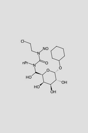 CCCN(C(=O)N(CCCl)N=O)C(O)[C@H]1O[C@H](OC2CCCCC2)[C@H](O)[C@@H](O)[C@H]1O